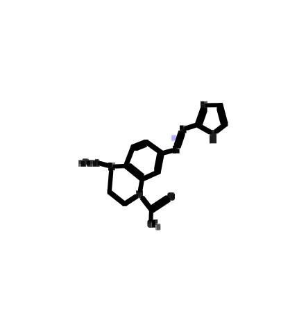 CCCCCN1CCN(C(=O)C(F)(F)F)c2cc(/N=N/c3ncc[nH]3)ccc21